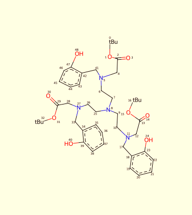 CC(C)(C)OC(=O)CN(CCN(CCN(CC(=O)OC(C)(C)C)Cc1ccccc1O)CCN(CC(=O)OC(C)(C)C)Cc1ccccc1O)Cc1ccccc1O